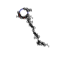 CO[C@H]1C[C@@H]2CC[C@@H](C)[C@@](O)(O2)C(=O)C(=O)N2CCCC[C@H]2C(=O)O[C@H]([C@H](N)C[C@@H]2CC[C@@H](OC(=O)NCc3cnc(N4CCN(C(=O)CCOCCN5CCN(c6ncc(C(=O)NCCCCn7nc(-c8ccc9oc(N)nc9c8)c8c(N)ncnc87)cn6)CC5)CC4)nc3)[C@H](OC)C2)C[C@@H](OC)[C@H](C)/C=C(\C)[C@@H](O)[C@@H](O)C(=O)[C@H](C)C[C@H](C)/C=C/C=C/C=C/1C